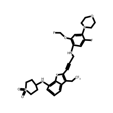 O=S1(=O)CCC(Nc2cccc3c(CC(F)(F)F)c(C#CCNc4cc(F)c(N5CCOCC5)cc4OCF)sc23)CC1